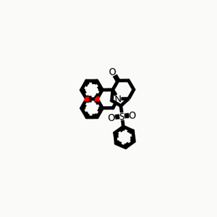 O=C1CCC2C(S(=O)(=O)c3ccccc3)CC1(c1ccccc1)N2Cc1ccccc1